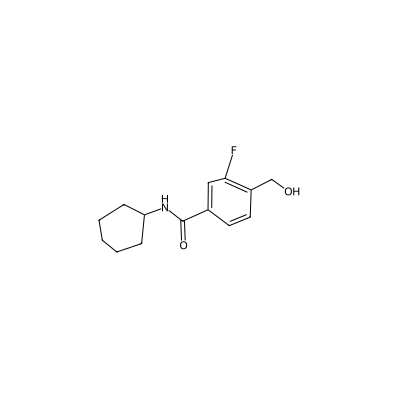 O=C(NC1CCCCC1)c1ccc(CO)c(F)c1